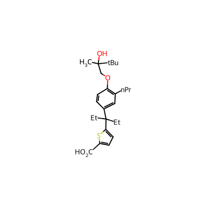 CCCc1cc(C(CC)(CC)c2ccc(C(=O)O)s2)ccc1OCC(C)(O)C(C)(C)C